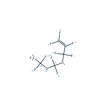 FC(F)=C(F)C(F)(F)OC(F)(F)OC(F)(F)C(F)(F)F